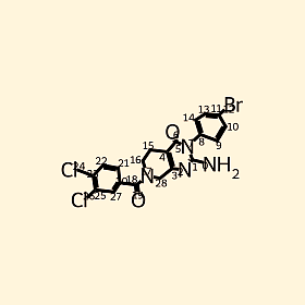 Nc1nc2c(c(=O)n1-c1ccc(Br)cc1)CCN(C(=O)c1ccc(Cl)c(Cl)c1)C2